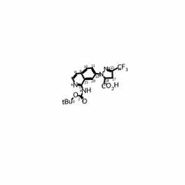 CC(C)(C)OC(=O)Nc1nccc2ccc(N3N=C(C(F)(F)F)CC3C(=O)O)cc12